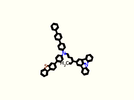 C=C/C(=C\C=C\N(c1ccc(-c2ccc(-c3ccccc3)cc2)cc1)c1ccc(-c2ccc3c(c2)sc2ccccc23)cc1)c1cc2c3ccccc3n3c4ccccc4c(c1)c23